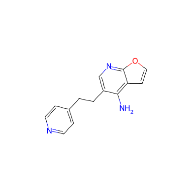 Nc1c(CCc2ccncc2)cnc2occc12